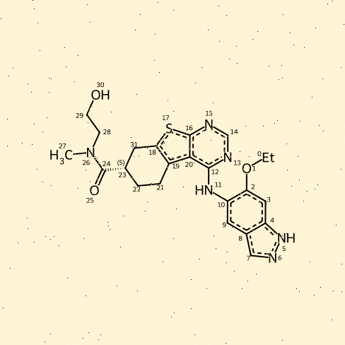 CCOc1cc2[nH]ncc2cc1Nc1ncnc2sc3c(c12)CC[C@H](C(=O)N(C)CCO)C3